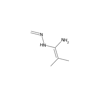 C=NNC(N)=C(C)C